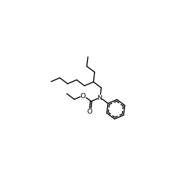 CCCCCC(CCC)CN(C(=O)OCC)c1ccccc1